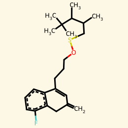 C=C1C=C(CCCOSCC(C)C(C)C(C)(C)C)c2cccc(F)c2C1